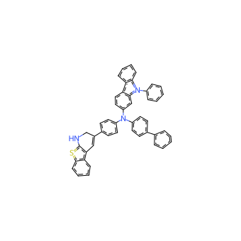 C1=C(c2ccc(N(c3ccc(-c4ccccc4)cc3)c3ccc4c5ccccc5n(-c5ccccc5)c4c3)cc2)CNc2sc3ccccc3c21